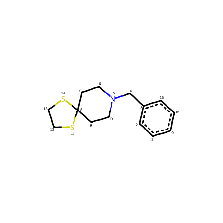 c1ccc(CN2CCC3(CC2)SCCS3)cc1